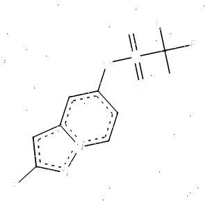 O=S(=O)(Oc1ccn2nc(F)cc2c1)C(F)(F)F